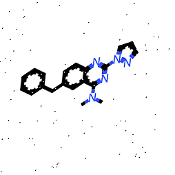 CN(C)c1nc(-n2cccn2)nc2ccc(Cc3ccccc3)cc12